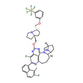 Cc1c(F)ccc2cccc(-c3nc4c5c(nc(OC[C@@]67CCCN6[C@H](COc6cccc(S(F)(F)(F)(F)F)c6)CC7)nc5c3F)N3C[C@@H]5CCC(N5)[C@H]3CCC4)c12